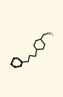 NCC1CCC([CH]CCc2ccccc2)CC1